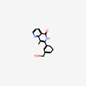 Cc1c(C2=CC(CO)=CCC2)[nH]c(=O)c2cccnc12